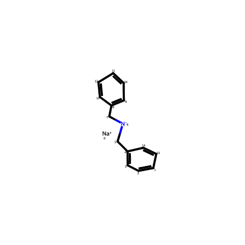 [Na+].c1ccc(C[N-]Cc2ccccc2)cc1